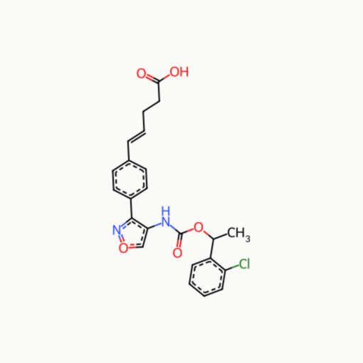 CC(OC(=O)Nc1conc1-c1ccc(C=CCCC(=O)O)cc1)c1ccccc1Cl